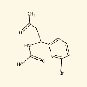 CC(=O)CC(NC(=O)O)c1cccc(Br)n1